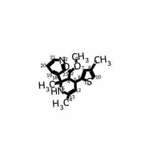 COC(=O)C1C(c2cc(C)cs2)C=C(C)NC1(C)c1cccnc1